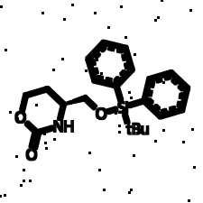 CC(C)(C)[Si](OC[C@@H]1CCOC(=O)N1)(c1ccccc1)c1ccccc1